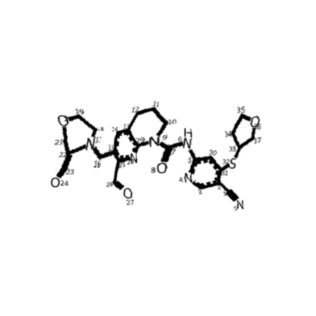 N#Cc1cnc(NC(=O)N2CCCc3cc(CN4CCOCC4=C=O)c(C=O)nc32)cc1SC1CCOC1